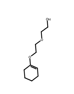 OCCOCCOC1=CCCCC1